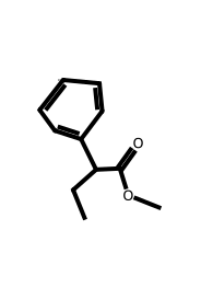 CCC(C(=O)OC)c1cc[c]cc1